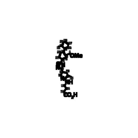 COCc1cc(-c2nc(-c3cnc(NCCCC(=O)O)c(C)c3)no2)ccc1-c1ccccc1C